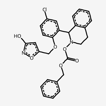 O=C(OCc1ccccc1)ON1CCc2ccccc2C1c1cc(Cl)ccc1OCc1cc(O)no1